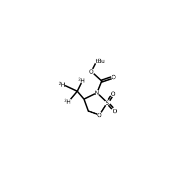 [2H]C([2H])([2H])C1COS(=O)(=O)N1C(=O)OC(C)(C)C